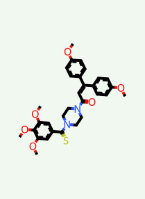 COc1ccc(C(=CC(=O)N2CCN(C(=S)c3cc(OC)c(OC)c(OC)c3)CC2)c2ccc(OC)cc2)cc1